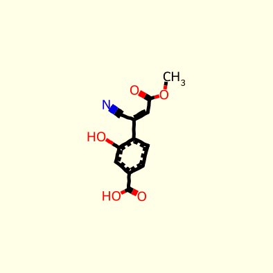 COC(=O)C=C(C#N)c1ccc(C(=O)O)cc1O